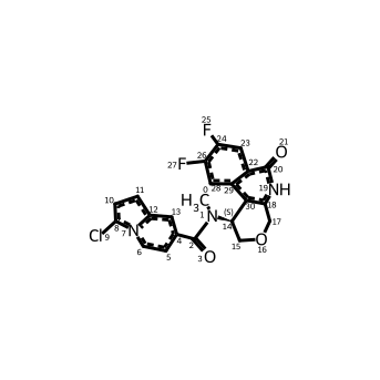 CN(C(=O)c1ccn2c(Cl)ccc2c1)[C@@H]1COCc2[nH]c(=O)c3cc(F)c(F)cc3c21